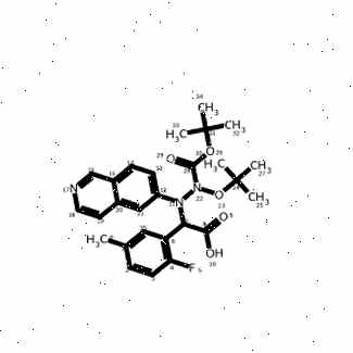 Cc1ccc(F)c(C(C(=O)O)N(c2ccc3cnccc3c2)N(OC(C)(C)C)C(=O)OC(C)(C)C)c1